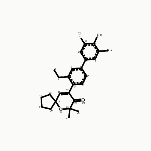 CCc1cc(-c2cc(F)c(F)c(F)c2)ccc1C1=CC2(CCCC2)OC(C)(C)C1=O